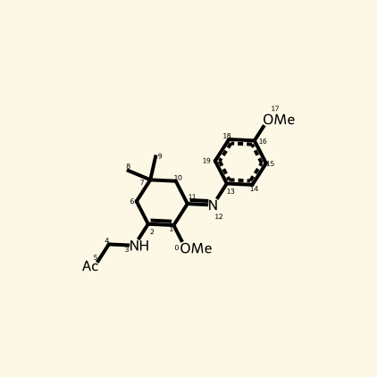 COC1=C(NCC(C)=O)CC(C)(C)C/C1=N\c1ccc(OC)cc1